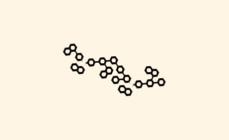 c1ccc(-c2cc(N(c3ccc(-c4ccc(-c5ccccc5)c(-c5cccc6ccccc56)c4)cc3)c3cccc4ccccc34)ccc2-c2ccc(-c3cccc(-c4ccc(-c5ccc(N(c6ccc(-c7cccc8ccccc78)cc6)c6cccc7ccccc67)cc5)cc4-c4cccc5ccccc45)c3)cc2)cc1